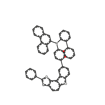 c1ccc(-c2nc3ccc4oc5ccc(-c6ccc(N(c7ccccc7-c7ccccc7)c7cc8ccccc8c8ccccc78)cc6)cc5c4c3o2)cc1